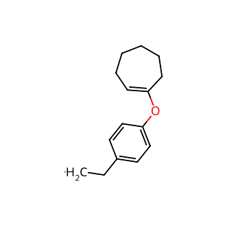 [CH2]Cc1ccc(OC2=CCCCCC2)cc1